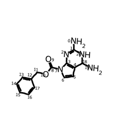 NC1=Nc2c(ccn2C(=O)OCc2ccccc2)C(N)N1